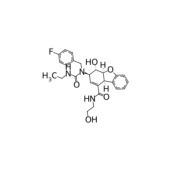 CCNC(=O)N(Cc1ccc(F)cc1)[C@@H]1C=C(C(=O)NCCO)[C@@H]2c3ccccc3O[C@@H]2[C@H]1O